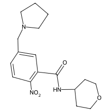 O=C(NC1CCOCC1)c1cc(CN2CCCC2)ccc1[N+](=O)[O-]